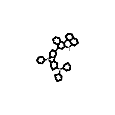 c1ccc(N(c2ccccc2)c2ccc3c(c2)c2cc(-c4cc5c(c6ccccc46)-c4cccc6cccc(c46)N5)ccc2n3-c2ccccc2)cc1